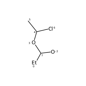 CCC([O])OC(C)Cl